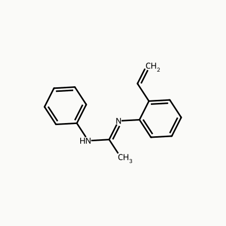 C=Cc1ccccc1/N=C(\C)Nc1ccccc1